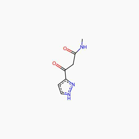 CNC(=O)CC(=O)c1cc[nH]n1